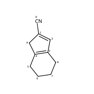 N#CC1=CC2=C(CCCC2)C1